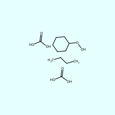 CCCC.O=C(O)O.O=C(O)O.OOC1CCCCC1